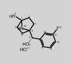 CCCC12CCC([C@@H](O)c3cccc(F)c3)(CC1)N2.Cl